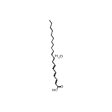 CCCCCCCCCCCCCC=CC=CC=CC(=O)O.O